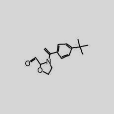 C=C(c1ccc(C(C)(C)C)cc1)N1CCOC1C=O